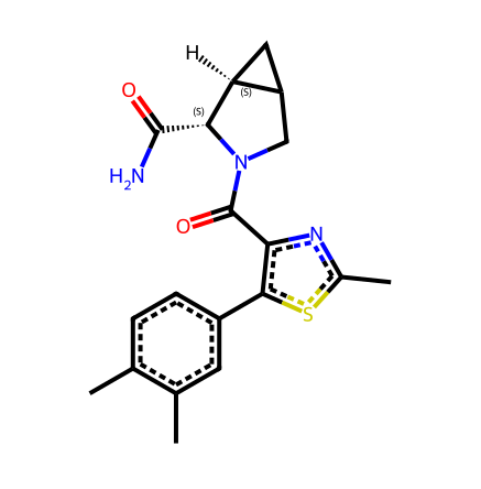 Cc1nc(C(=O)N2CC3C[C@@H]3[C@H]2C(N)=O)c(-c2ccc(C)c(C)c2)s1